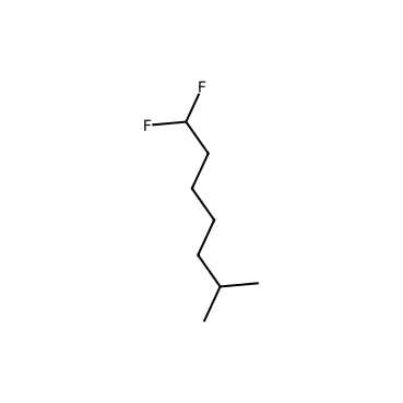 CC(C)CCCCC(F)F